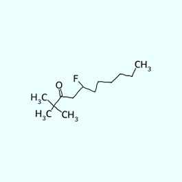 CCCCCCC(F)CC(=O)C(C)(C)C